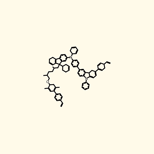 C=Cc1ccc(C2=C(C)CC(OCC(C)CCC(C)CC3(C4CC=CCC4)C4=C(CCC=C4)c4ccc(N(c5ccc(-c6ccc7c(c6)C6CC(C8=CCC(C=C)C=C8)=CC=C6N7c6ccccc6)cc5)C5C=CC=CC5)cc43)C(C)=C2)cc1